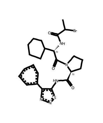 CC(Br)C(=O)N[C@H](C(=O)N1CCC[C@H]1C(=O)Nc1snnc1-c1ccccc1)C1CCCCC1